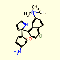 C[N+](C)(C)c1ccc2ccc(O)c(C3(c4ccc(N)cc4)C=CC=N3)c2c1.[Cl-]